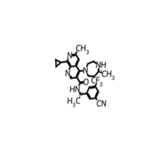 Cc1cc2c(N3CCN[C@@H](C)CC3)c(C(=O)N[C@@H](C)c3cc(C#N)cc(C(F)(F)F)c3)cnc2c(C2CC2)n1